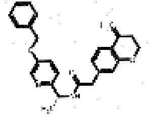 C=C1CCOc2cc(CC(=O)N[C@H](C)c3ccc(OCc4ccccc4)cn3)ccc21